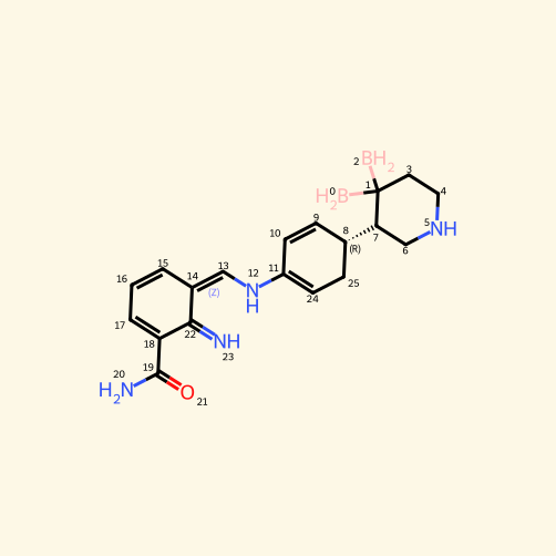 BC1(B)CCNCC1[C@H]1C=CC(N/C=C2/C=CC=C(C(N)=O)C2=N)=CC1